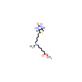 COC(=O)CCCCCN(C)CCCCC[C@@H]1SC[C@@H]2NC(=O)N[C@@H]21